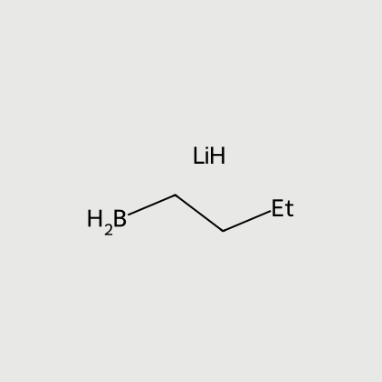 BCCCC.[LiH]